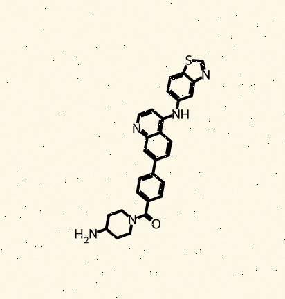 NC1CCN(C(=O)c2ccc(-c3ccc4c(Nc5ccc6scnc6c5)ccnc4c3)cc2)CC1